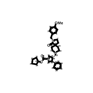 COc1ccc(CN2CCC3(CCN(C[C@H]4CN(C(=O)OC5CCCC5)C[C@@H]4c4ccccc4)CC3)C2=O)cc1